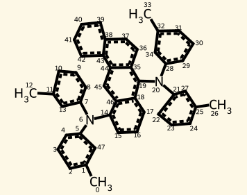 Cc1cccc(N(c2cccc(C)c2)c2cccc3c(N(c4cccc(C)c4)c4cccc(C)c4)c4ccc5ccccc5c4cc23)c1